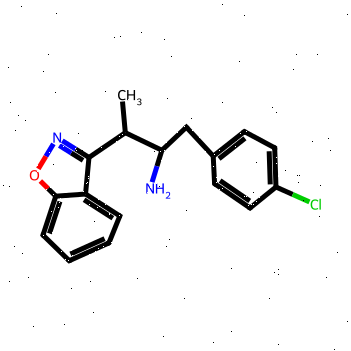 CC(c1noc2ccccc12)C(N)Cc1ccc(Cl)cc1